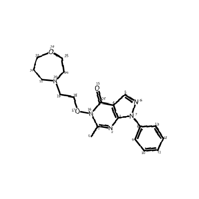 Cc1nc2c(cnn2-c2ccccc2)c(=O)n1OCCN1CCCOCC1